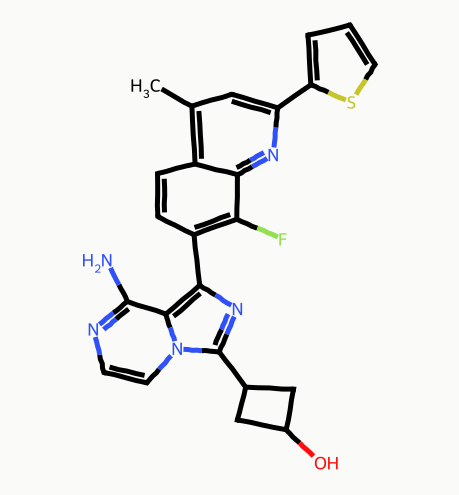 Cc1cc(-c2cccs2)nc2c(F)c(-c3nc(C4CC(O)C4)n4ccnc(N)c34)ccc12